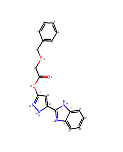 O=C(COCc1ccccc1)Oc1cc(-c2nc3ccccc3[nH]2)[nH]n1